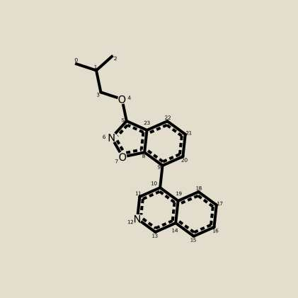 CC(C)COc1noc2c(-c3cncc4ccccc34)cccc12